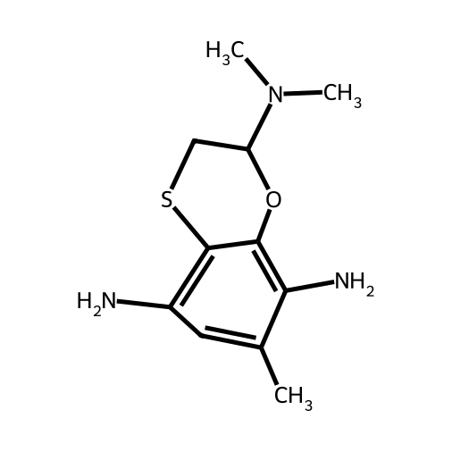 Cc1cc(N)c2c(c1N)OC(N(C)C)CS2